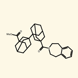 COC(=O)C12CC3CC(C1)CC(C14CC5CC(CC(C(=O)N6CCc7ccccc7CC6)(C5)C1)C4)(C3)C2